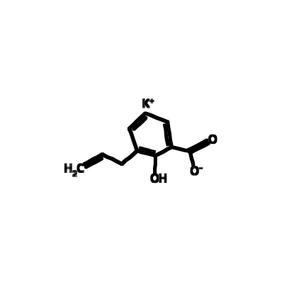 C=CCc1cccc(C(=O)[O-])c1O.[K+]